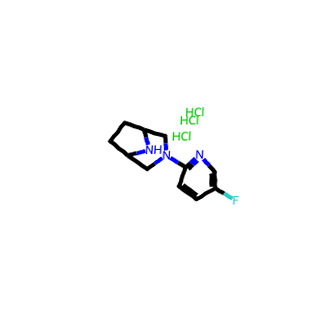 Cl.Cl.Cl.Fc1ccc(N2CC3CCC(C2)N3)nc1